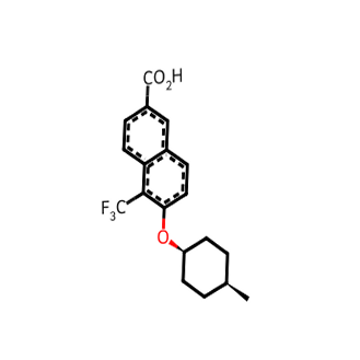 C[C@H]1CC[C@@H](Oc2ccc3cc(C(=O)O)ccc3c2C(F)(F)F)CC1